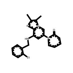 CCc1ccccc1CNc1cc(-n2ccccc2=O)cn2c(C)c(C)nc12